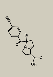 C#Cc1ccc(C(=O)C2(Br)CC=C3C(C(=O)O)CCN32)cc1